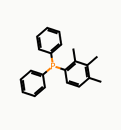 Cc1ccc(P(c2ccccc2)c2ccccc2)c(C)c1C